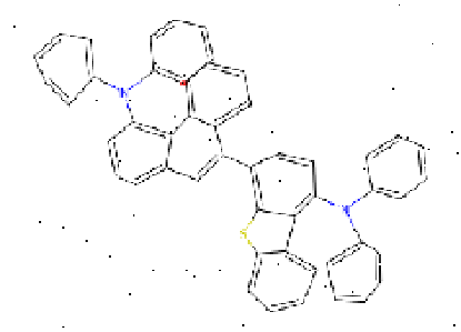 c1ccc(N(c2ccccc2)c2cccc3cc(-c4ccc(N(c5ccccc5)c5ccccc5)c5c4sc4ccccc45)c4ccccc4c23)cc1